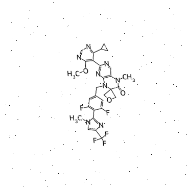 COc1ncnc(C2CC2)c1-c1ncc2c(n1)N(Cc1cc(F)c(-c3nc(C(F)(F)F)cn3C)c(F)c1)C1(COC1)C(=O)N2C